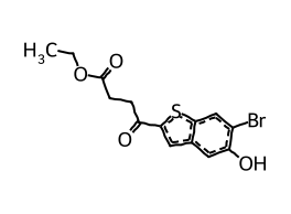 CCOC(=O)CCC(=O)c1cc2cc(O)c(Br)cc2s1